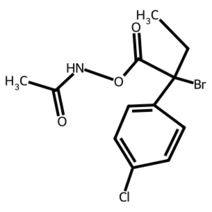 CCC(Br)(C(=O)ONC(C)=O)c1ccc(Cl)cc1